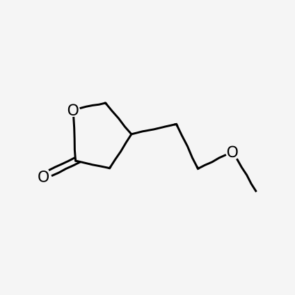 COCCC1COC(=O)C1